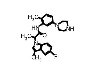 Cc1ccc(N2CCNCC2)cc1NC(=O)C(C)n1cc(C)c2cc(F)ccc21